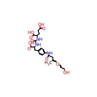 C/C(=C\OC=CCO)CC(=O)Nc1ccc(CC(NC(=O)NC(CCC(=O)O)C(=O)O)C(=O)O)cc1